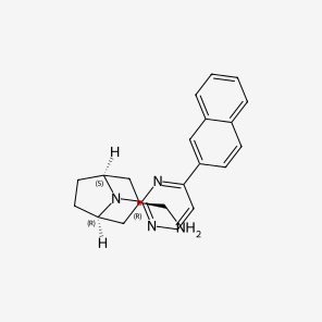 NC[C@H]1C[C@H]2CC[C@@H](C1)N2c1nccc(-c2ccc3ccccc3c2)n1